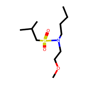 CCCCN(CCOC)S(=O)(=O)CC(C)C